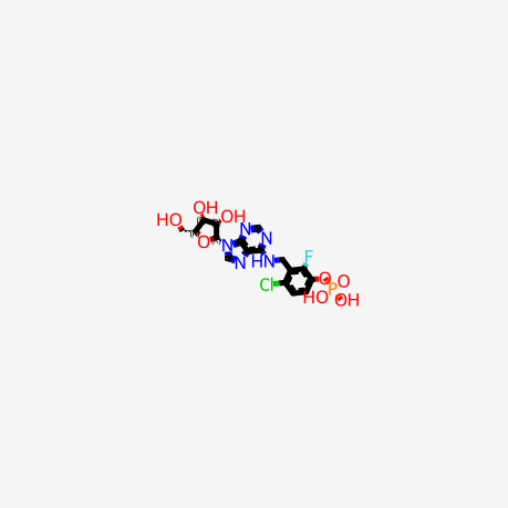 O=P(O)(O)Oc1ccc(Cl)c(CNc2ncnc3c2ncn3[C@@H]2O[C@H](CO)[C@@H](O)[C@H]2O)c1F